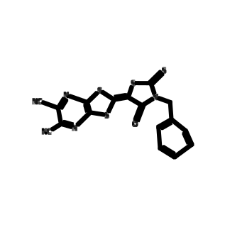 N#Cc1nc2c(nc1C#N)SC(=C1SC(=S)N(Cc3ccccc3)C1=O)S2